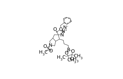 CC1(C)OB(CCCC2C3CN(S(C)(=O)=O)CC3CC2(N=[N+]=[N-])C(=O)OCc2ccccc2)OC1(C)C